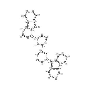 c1cc(-c2cccc(-n3c4ccccc4c4ccccc43)c2)cc(-c2cccc3c2sc2cccnc23)c1